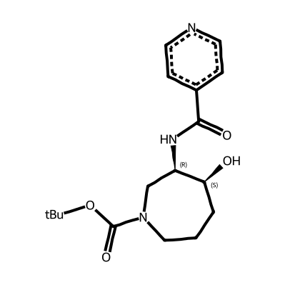 CC(C)(C)OC(=O)N1CCC[C@H](O)[C@H](NC(=O)c2ccncc2)C1